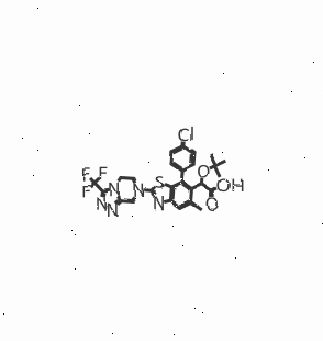 Cc1cc2nc(N3CCn4c(nnc4C(F)(F)F)C3)sc2c(-c2ccc(Cl)cc2)c1C(OC(C)(C)C)C(=O)O